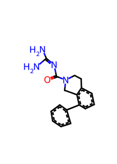 NC(N)=NC(=O)N1CCc2cccc(-c3ccccc3)c2C1